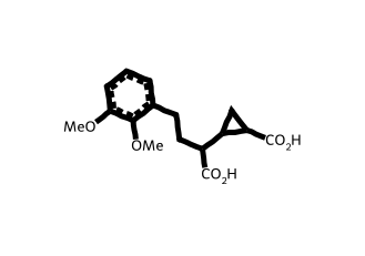 COc1cccc(CCC(C(=O)O)C2CC2C(=O)O)c1OC